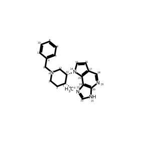 C[C@@H]1CCN(Cc2ccccc2)C[C@@H]1n1ccc2cnc3[nH]cnc3c21